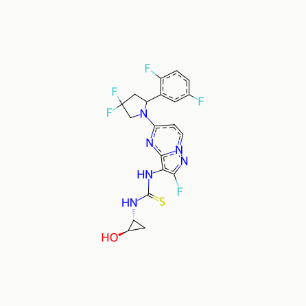 O[C@@H]1C[C@H]1NC(=S)Nc1c(F)nn2ccc(N3CC(F)(F)CC3c3cc(F)ccc3F)nc12